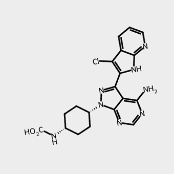 Nc1ncnc2c1c(-c1[nH]c3ncccc3c1Cl)nn2[C@H]1CC[C@@H](NC(=O)O)CC1